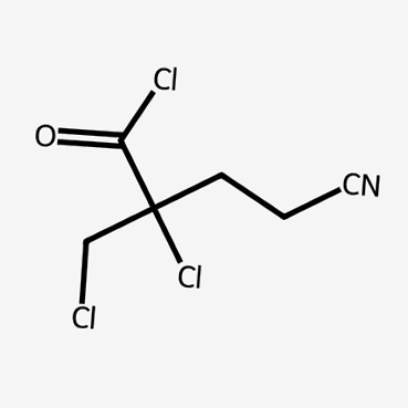 N#CCCC(Cl)(CCl)C(=O)Cl